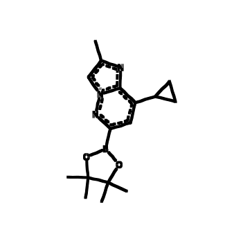 Cc1cn2nc(B3OC(C)(C)C(C)(C)O3)cc(C3CC3)c2n1